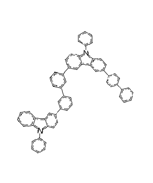 c1ccc(-c2ccc(-c3ccc4c(c3)c3cc(-c5cccc(-c6cccc(-c7ccc8c(c7)c7ccccc7n8-c7ccccc7)c6)c5)ccc3n4-c3ccccc3)cc2)cc1